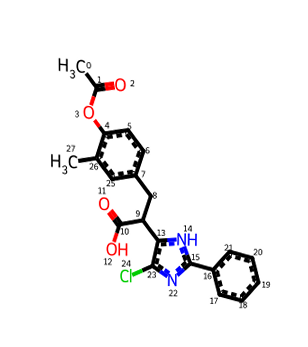 CC(=O)Oc1ccc(CC(C(=O)O)c2[nH]c(-c3ccccc3)nc2Cl)cc1C